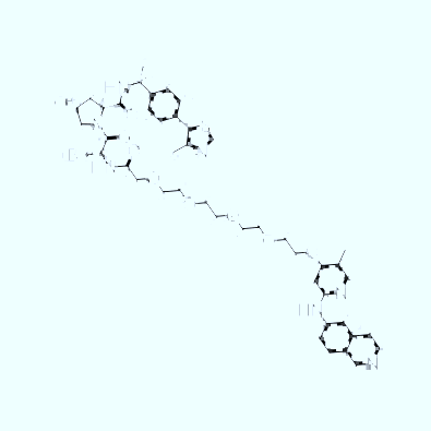 Cc1cnc(Nc2ccc3cnccc3c2)cc1OCCOCCOCCOCCOCC(=O)N[C@H](C(=O)N1C[C@H](O)C[C@H]1C(=O)N[C@@H](C)c1ccc(-c2scnc2C)cc1)C(C)(C)C